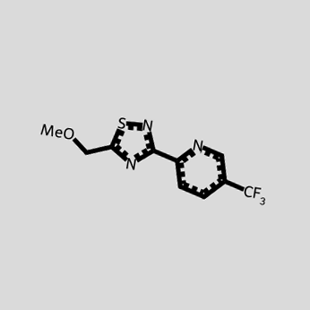 COCc1nc(-c2ccc(C(F)(F)F)cn2)ns1